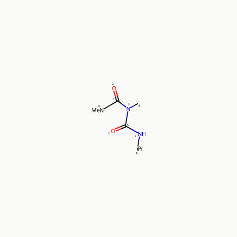 CNC(=O)N(C)C(=O)NC(C)C